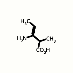 CC=C(N)C(C)C(=O)O